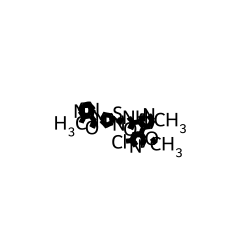 COc1cnc(Cl)cc1-c1cc(C)ncc1C(=O)Nc1nc2c(s1)CN(C(=O)c1nccnc1C)C2